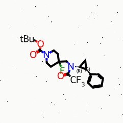 CC(C)(C)OC(=O)N1CCC(F)(CN(C(=O)C(F)(F)F)[C@@H]2C[C@H]2c2ccccc2)CC1